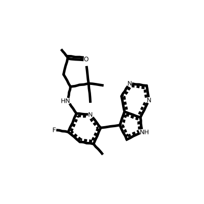 CC(=O)CC(Nc1nc(-c2c[nH]c3ncncc23)c(C)cc1F)C(C)(C)C